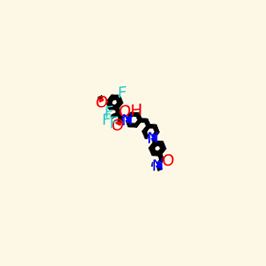 COc1cc(F)cc(C(O)(C(=O)N2CCC(CC3CCN(c4ccc(C(=O)N(C)C)cc4)CC3)CC2)C(F)(F)F)c1